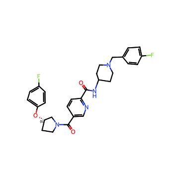 O=C(NC1CCN(Cc2ccc(F)cc2)CC1)c1ccc(C(=O)N2CC[C@H](Oc3ccc(F)cc3)C2)cn1